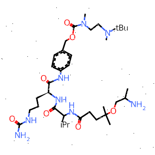 CC(N)COC(C)(C)CCC(=O)NC(C(=O)N[C@@H](CCCNC(N)=O)C(=O)Nc1ccc(COC(=O)N(C)CCN(C)C(C)(C)C)cc1)C(C)C